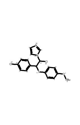 CCCCOc1ccc(SC(c2ccc(Cl)cc2)C(Cl)n2ccnc2)cc1